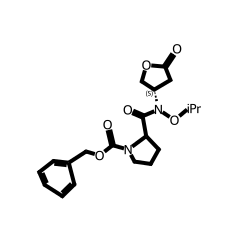 CC(C)ON(C(=O)C1CCCN1C(=O)OCc1ccccc1)[C@@H]1COC(=O)C1